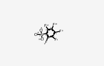 Fc1c(F)c(F)c([Si](Cl)(Cl)Cl)c(F)c1F